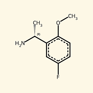 COc1ccc(F)cc1[C@@H](C)N